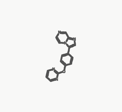 c1cnc(Oc2ccc(-c3cnc4cnccn34)cc2)nc1